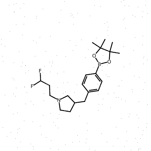 CC1(C)OB(c2ccc(CC3CCN(CCC(F)F)C3)cc2)OC1(C)C